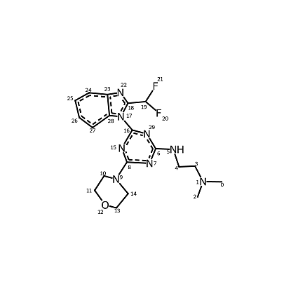 CN(C)CCNc1nc(N2CCOCC2)nc(-n2c(C(F)F)nc3ccccc32)n1